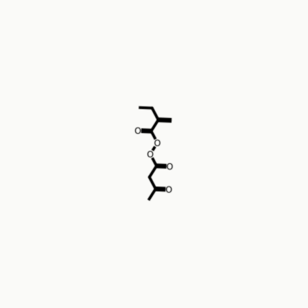 C=C(CC)C(=O)OOC(=O)CC(C)=O